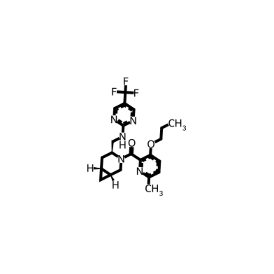 CCCOc1ccc(C)nc1C(=O)N1C[C@@H]2C[C@@H]2C[C@H]1CNc1ncc(C(F)(F)F)cn1